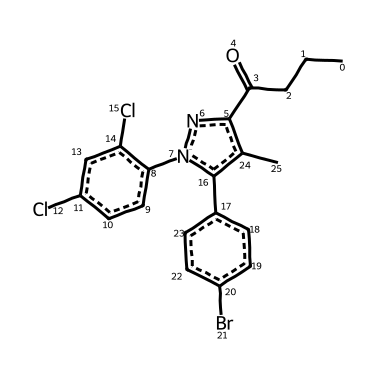 CCCC(=O)c1nn(-c2ccc(Cl)cc2Cl)c(-c2ccc(Br)cc2)c1C